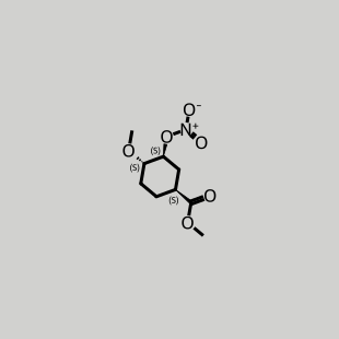 COC(=O)[C@H]1CC[C@H](OC)[C@@H](O[N+](=O)[O-])C1